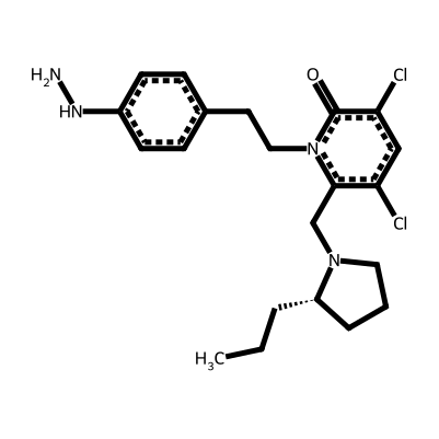 CCC[C@H]1CCCN1Cc1c(Cl)cc(Cl)c(=O)n1CCc1ccc(NN)cc1